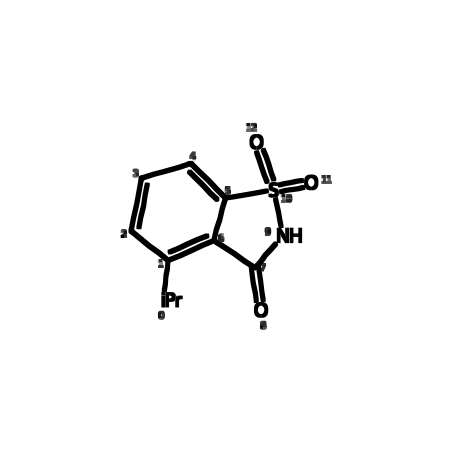 CC(C)c1cccc2c1C(=O)NS2(=O)=O